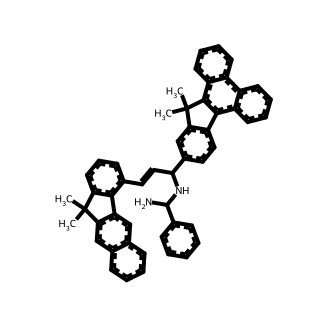 CC1(C)c2cc3ccccc3cc2-c2c(/C=C/C(NC(N)c3ccccc3)c3ccc4c(c3)C(C)(C)c3c-4c4ccccc4c4ccccc34)cccc21